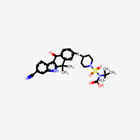 CC1(C)c2cc(CC3CCN(S(=O)(=O)N(C(=O)O)C(C)(C)C)CC3)ccc2C(=O)c2c1[nH]c1cc(C#N)ccc21